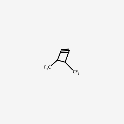 FC(F)(F)C1C#CC1C(F)(F)F